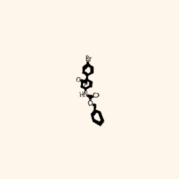 O=C(NC12CCC(c3ccc(Br)cc3)(CC1)C(=O)C2)OCc1ccccc1